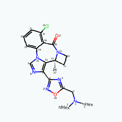 CCCCCCN(CCCCCC)Cc1nc(-c2ncn3c2[C@@H]2CCN2C(=O)c2c(Cl)cccc2-3)no1